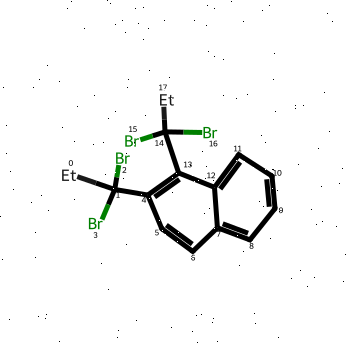 CCC(Br)(Br)c1ccc2ccccc2c1C(Br)(Br)CC